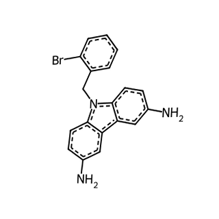 Nc1ccc2c(c1)c1cc(N)ccc1n2Cc1ccccc1Br